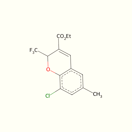 CCOC(=O)C1=Cc2cc(C)cc(Cl)c2OC1C(F)(F)F